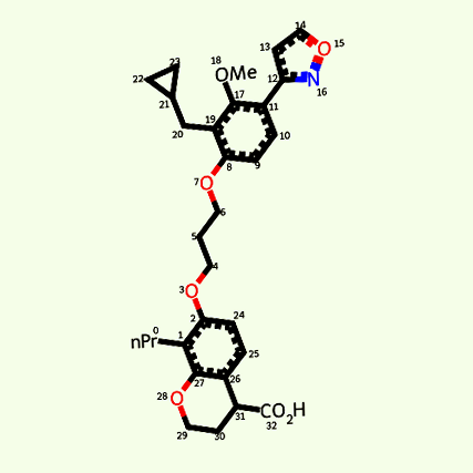 CCCc1c(OCCCOc2ccc(-c3ccon3)c(OC)c2CC2CC2)ccc2c1OCCC2C(=O)O